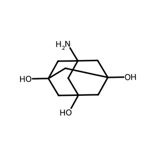 NC12CC3(O)CC(O)(C1)CC(O)(C2)C3